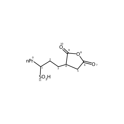 CCCC(CCC1CC(=O)OC1=O)S(=O)(=O)O